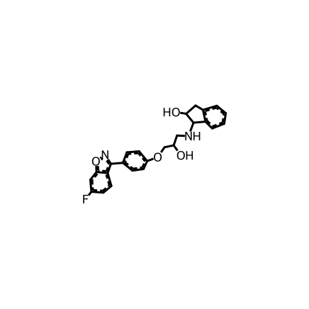 OC(CNC1c2ccccc2CC1O)COc1ccc(-c2noc3cc(F)ccc23)cc1